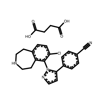 N#Cc1ccc(-c2ccnn2-c2c(Cl)ccc3c2CCNCC3)cc1.O=C(O)CCC(=O)O